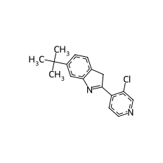 CC(C)(C)c1ccc2c(c1)N=C(c1ccncc1Cl)C2